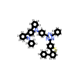 c1ccc(-c2nc(-c3ccc(-n4c5ccccc5c5cc6c7ccccc7n(-c7ccccc7)c6cc54)cc3)nc(-c3ccc4c(c3)sc3cccc(-c5ccccc5)c34)n2)cc1